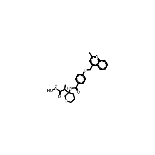 Cc1cc(COc2ccc(C(=O)NC3(C(C)C(=O)NO)CCCOC3)cc2)c2ccccc2n1